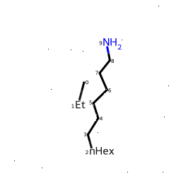 CCC.CCCCCCCCCCCCN